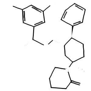 C[C@@H](OC[C@H]1C[C@](C#N)(N2CCCCC2=O)CC[C@@H]1c1ccccc1)c1cc(C(F)(F)F)cc(C(F)(F)F)c1